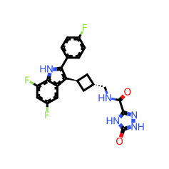 O=C(NC[C@H]1C[C@H](c2c(-c3ccc(F)cc3)[nH]c3c(F)cc(F)cc32)C1)c1n[nH]c(=O)[nH]1